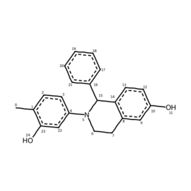 Cc1ccc(N2CCc3cc(O)ccc3C2c2ccccc2)cc1O